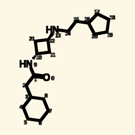 O=C(CC1CCCCC1)N[C@H]1C[C@H](NCCC2CCCC2)C1